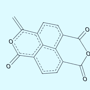 C=c1oc(=O)c2ccc3c4c(ccc1c42)C(=O)OC3=O